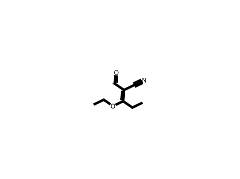 CCOC(CC)=C([C]=O)C#N